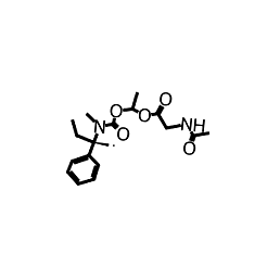 [CH2][C@](CC)(c1ccccc1)N(C)C(=O)OC(C)OC(=O)CNC(C)=O